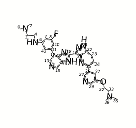 CN(C)CCNc1cc(F)cc(-c2cncc3[nH]c(-c4n[nH]c5ccc(-c6cncc(OCCN(C)C)c6)nc45)nc23)c1